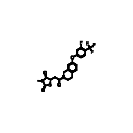 CN1C(=O)SC(CC(=O)N2CCc3ccc(Oc4ccc(C(F)(F)F)c(F)c4)cc3C2)C1=O